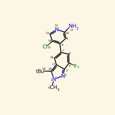 Cn1nc2c(F)cc(-c3cc(N)ncc3Cl)cc2c1C(C)(C)C